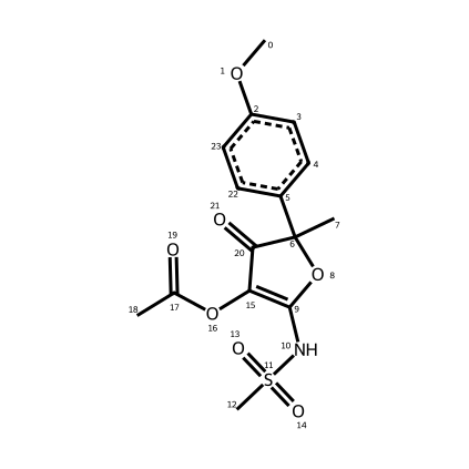 COc1ccc(C2(C)OC(NS(C)(=O)=O)=C(OC(C)=O)C2=O)cc1